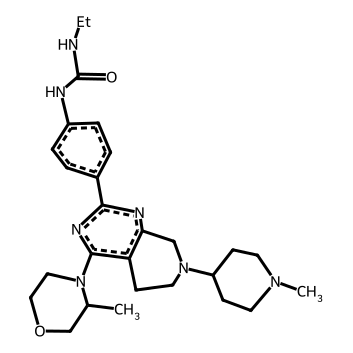 CCNC(=O)Nc1ccc(-c2nc3c(c(N4CCOCC4C)n2)CCN(C2CCN(C)CC2)C3)cc1